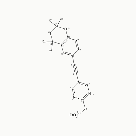 CCOC(=O)Cc1ncc(C#Cc2ccc3c(c2)C(C)(C)CC(C)(C)O3)cn1